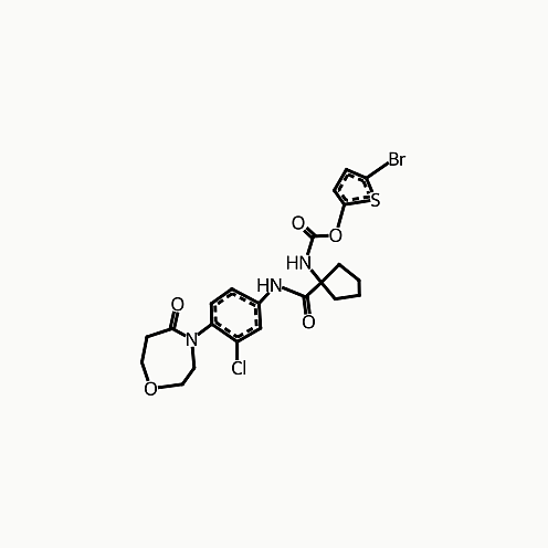 O=C(NC1(C(=O)Nc2ccc(N3CCOCCC3=O)c(Cl)c2)CCCC1)Oc1ccc(Br)s1